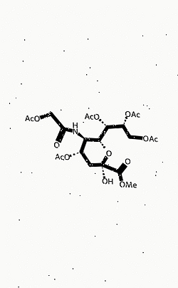 COC(=O)[C@@]1(O)C[C@H](OC(C)=O)[C@@H](NC(=O)COC(C)=O)[C@H]([C@H](OC(C)=O)[C@@H](COC(C)=O)OC(C)=O)O1